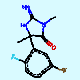 CN1C(=N)NC(C)(c2cc(Br)ccc2F)C1=O